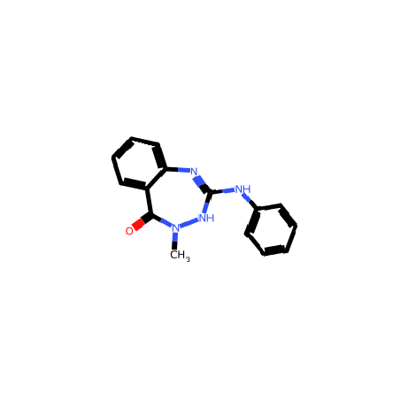 CN1NC(Nc2ccccc2)=Nc2ccccc2C1=O